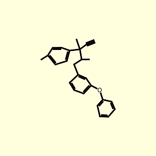 C#CC(C)(c1ccc(C)cc1)C(C)Cc1cccc(Oc2ccccc2)c1